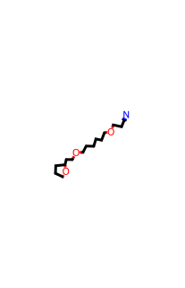 N#CCCOCCCCCCOCCC1CCCO1